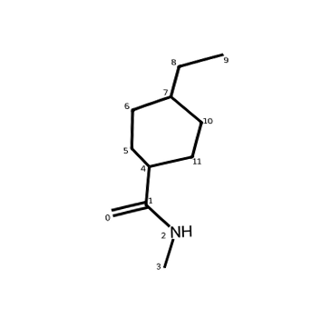 C=C(NC)C1CCC(CC)CC1